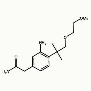 COCCOCC(C)(C)c1ccc(CC(N)=O)cc1N